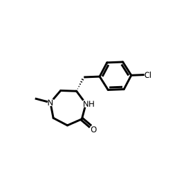 CN1CCC(=O)N[C@@H](Cc2ccc(Cl)cc2)C1